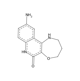 Nc1ccc2[nH]c(=O)c3c(c2c1)NCCCO3